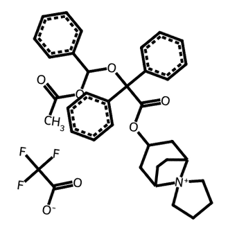 CC(=O)OC(OC(C(=O)OC1CC2CCC(C1)[N+]21CCCC1)(c1ccccc1)c1ccccc1)c1ccccc1.O=C([O-])C(F)(F)F